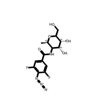 C[C@H]1OC(CO)[C@H](O)[C@H](O)C1NC(=O)c1cc(F)c(N=[N+]=[N-])c(F)c1